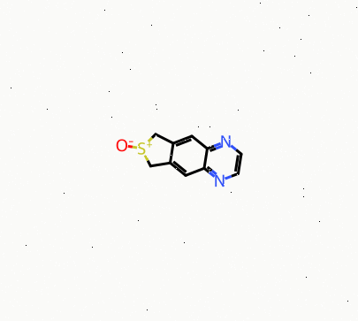 [O-][S+]1Cc2cc3nccnc3cc2C1